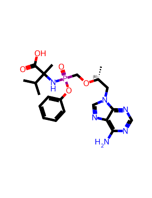 CC(C)C(C)(NP(=O)(CO[C@H](C)Cn1cnc2c(N)ncnc21)Oc1ccccc1)C(=O)O